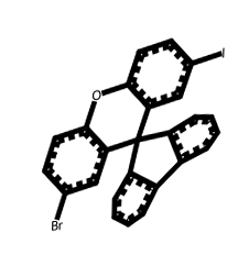 Brc1ccc2c(c1)C1(c3cc(I)ccc3O2)c2ccccc2-c2ccccc21